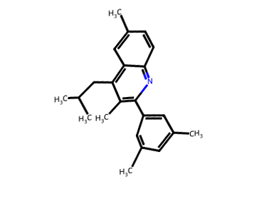 Cc1cc(C)cc(-c2nc3ccc(C)cc3c(CC(C)C)c2C)c1